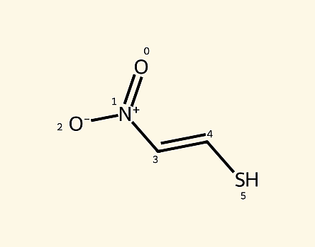 O=[N+]([O-])C=CS